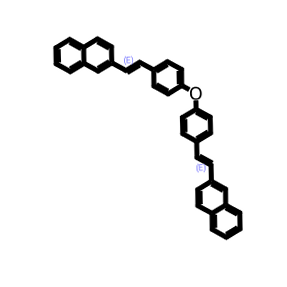 C(=C\c1ccc2ccccc2c1)/c1ccc(Oc2ccc(/C=C/c3ccc4ccccc4c3)cc2)cc1